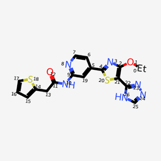 CCOc1nc(-c2ccnc(NC(=O)Cc3cccs3)c2)sc1-c1nnc[nH]1